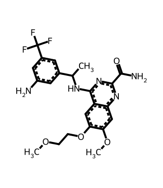 COCCOc1cc2c(NC(C)c3cc(N)cc(C(F)(F)F)c3)nc(C(N)=O)nc2cc1OC